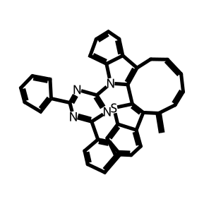 C=C1/C=C\C=C/Cc2c(n(-c3nc(-c4ccccc4)nc(-c4ccccc4)n3)c3ccccc23)-c2sc3ccccc3c21